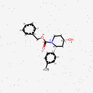 N#Cc1ccc([C@H]2C[C@@H](O)CCN2C(=O)OCc2ccccc2)cc1